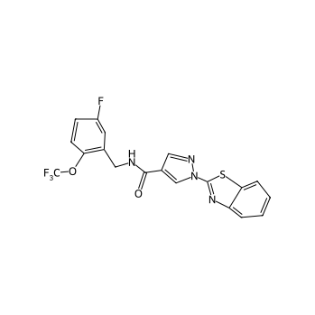 O=C(NCc1cc(F)ccc1OC(F)(F)F)c1cnn(-c2nc3ccccc3s2)c1